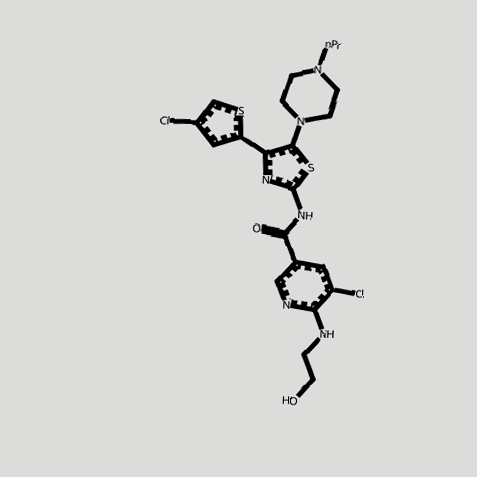 CCCN1CCN(c2sc(NC(=O)c3cnc(NCCO)c(Cl)c3)nc2-c2cc(Cl)cs2)CC1